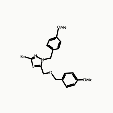 COc1ccc(COCc2nc(Br)nn2Cc2ccc(OC)cc2)cc1